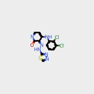 O=C1N=CC=C(Nc2cccc(Cl)c2Cl)C1=NNc1nncs1